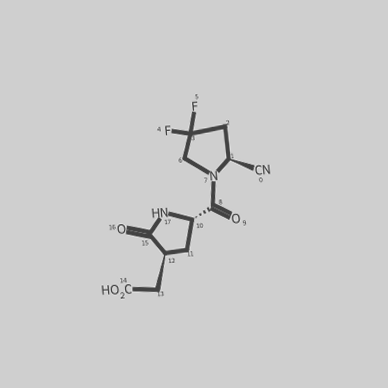 N#C[C@@H]1CC(F)(F)CN1C(=O)[C@@H]1C[C@@H](CC(=O)O)C(=O)N1